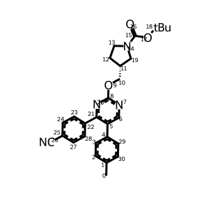 Cc1ccc(-c2cnc(OC[C@@H]3CCN(C(=O)OC(C)(C)C)C3)nc2-c2ccc(C#N)cc2)cc1